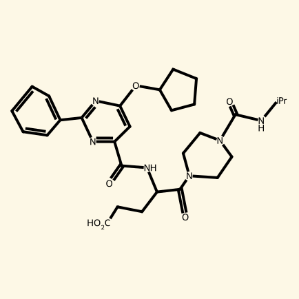 CC(C)NC(=O)N1CCN(C(=O)C(CCC(=O)O)NC(=O)c2cc(OC3CCCC3)nc(-c3ccccc3)n2)CC1